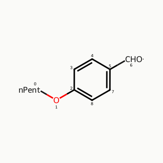 CCCCCOc1ccc([C]=O)cc1